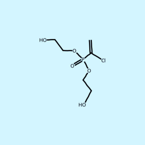 C=C(Cl)P(=O)(OCCO)OCCO